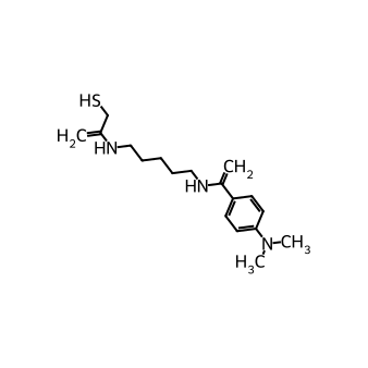 C=C(CS)NCCCCCNC(=C)c1ccc(N(C)C)cc1